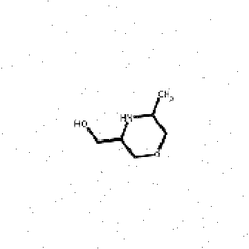 CC1COCC(CO)N1